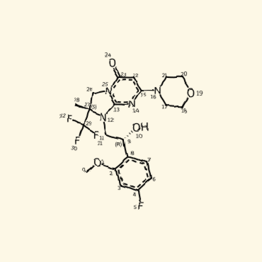 COc1cc(F)ccc1[C@@H](O)CN1c2nc(N3CCOCC3)cc(=O)n2C[C@@]1(C)C(F)(F)F